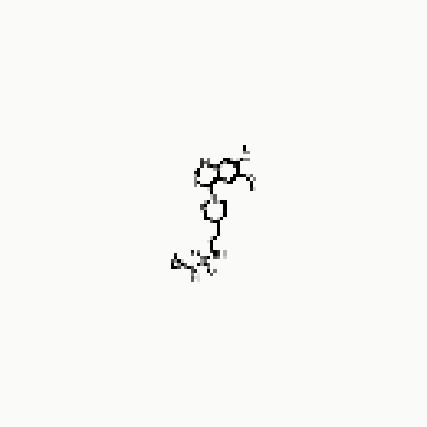 COc1cc2ncnc(N3CCC(CCNS(=O)(=O)NC4CC4)CC3)c2cc1OC